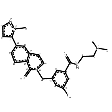 CN(C)CCNC(=O)c1cc(F)cc(Cn2ccc3cc(-c4ccnn4C)ccc3c2=O)c1